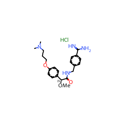 CO[C@H](C(=O)NCc1ccc(C(=N)N)cc1)c1ccc(OCCCN(C)C)cc1.Cl